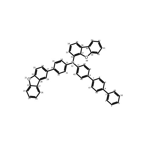 c1ccc(-c2ccc(-c3ccc(N(c4ccc(-c5ccc6oc7ccccc7c6c5)cc4)c4cccc5c4oc4ccccc45)cc3)cc2)cc1